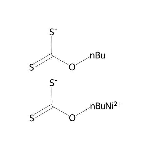 CCCCOC(=S)[S-].CCCCOC(=S)[S-].[Ni+2]